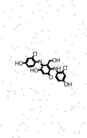 O=C1C=C(O)/C(=N\c2ccc(O)cc2Cl)C(CO)=C1Nc1ccc(O)cc1Cl